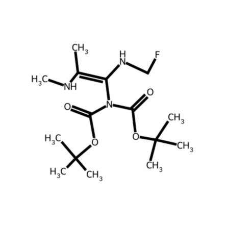 CN/C(C)=C(/NCF)N(C(=O)OC(C)(C)C)C(=O)OC(C)(C)C